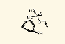 OP(=S)(S)OC=S.Sc1ccccc1